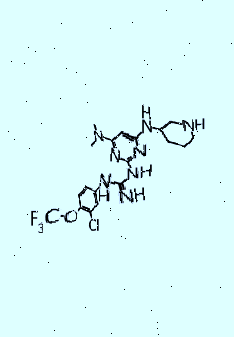 CN(C)c1cc(NC2CCCNC2)nc(NC(=N)Nc2ccc(OC(F)(F)F)c(Cl)c2)n1